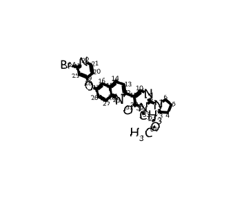 COC[C@H]1CCCN1c1ncc(-c2ccc3cc(Oc4ccnc(Br)c4)ccc3n2)c(=O)n1C